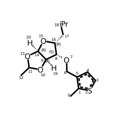 Cc1sccc1CO[C@@H]1[C@H]2OC(C)O[C@H]2O[C@@H]1CC(C)C